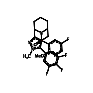 COc1ncc(F)cc1C(=O)N1C2CCCC1c1nn(C)c(-c3cc(F)c(F)c(F)c3)c1C2